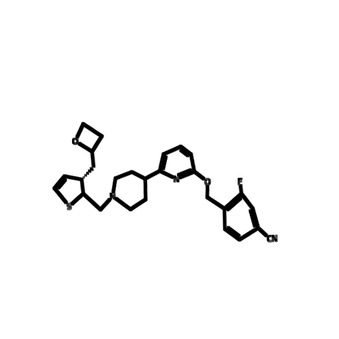 N#Cc1ccc(COc2cccc(C3CCN(CC4SC=C[C@@H]4CC4CCO4)CC3)n2)c(F)c1